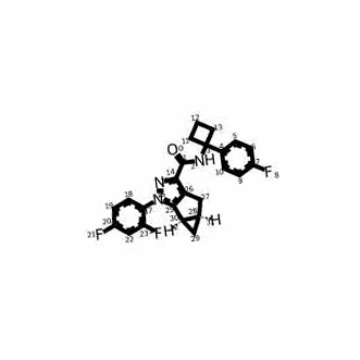 O=C(NC1(c2ccc(F)cc2)CCC1)c1nn(-c2ccc(F)cc2F)c2c1C[C@H]1C[C@@H]21